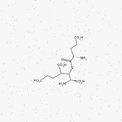 N[C@H](C(=O)O)C(SC(=O)[C@@H](N)CCC(=O)O)C(CCC(=O)O)C(=O)O